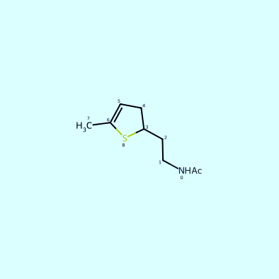 CC(=O)NCCC1CC=C(C)S1